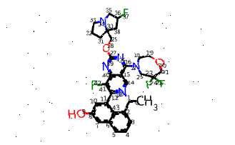 CCc1cccc2cc(O)cc(-c3ncc4c(N5CCOCC(F)(F)C5)nc(OCC56CCCN5CC(F)C6)nc4c3F)c12